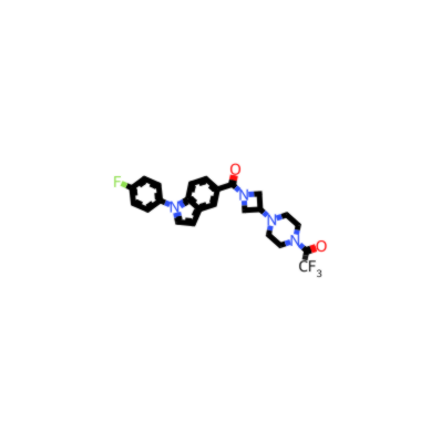 O=C(c1ccc2c(ccn2-c2ccc(F)cc2)c1)N1CC(N2CCN(C(=O)C(F)(F)F)CC2)C1